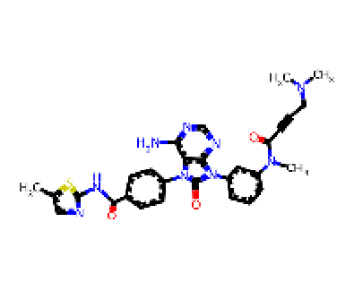 Cc1cnc(NC(=O)c2ccc(-n3c(=O)n(-c4cccc(N(C)C(=O)C#CCN(C)C)c4)c4ncnc(N)c43)cc2)s1